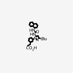 CC(C)(C)c1cc(NC(=O)Nc2cccc3ccccc23)n(-c2cccc(CCC(=O)O)c2)n1